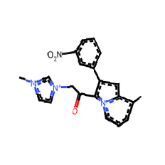 Cc1cccn2c(C(=O)C[n+]3ccn(C)c3)c(-c3cccc([N+](=O)[O-])c3)cc12